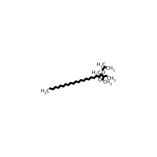 CCCCCCCCCCCCCCCCCCCCC(=O)C(C)(OCC(C)C)C(CC)CC